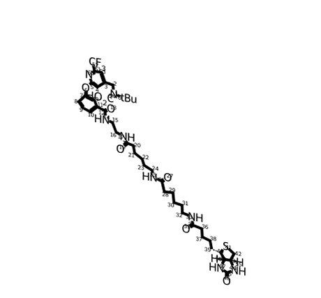 CC(C)(C)N(Cc1cc(Oc2cccc(C(=O)NCCNC(=O)CCCCCNC(=O)CCCCCNC(=O)CCCC[C@@H]3SC[C@@H]4NC(=O)N[C@@H]43)c2)nc(C(F)(F)F)c1)C(=O)O